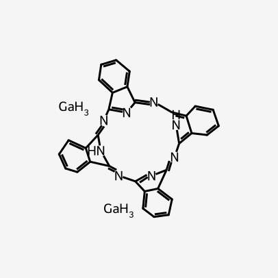 [GaH3].[GaH3].c1ccc2c(c1)-c1nc-2nc2[nH]c(nc3nc(nc4[nH]c(n1)c1ccccc41)-c1ccccc1-3)c1ccccc21